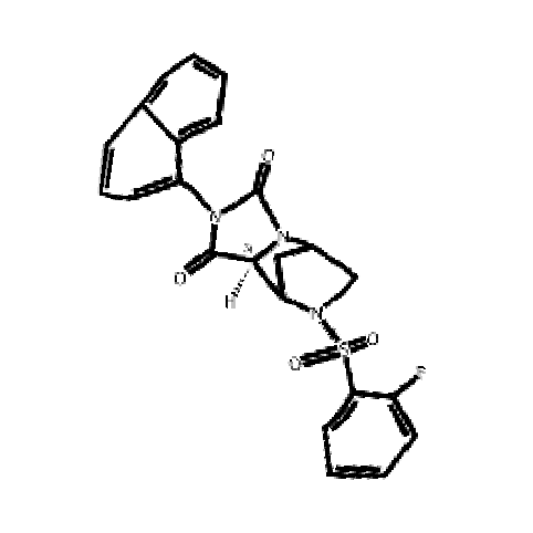 O=C1[C@@H]2C3CC(CN3S(=O)(=O)c3ccccc3F)N2C(=O)N1c1cccc2ccccc12